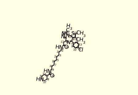 Cc1sc2c(c1C)C(c1ccc(Cl)cc1)=NC(CC(=O)NCCCCCCCCCNC(=O)C1CCNCC1)c1nnc(C)n1-2